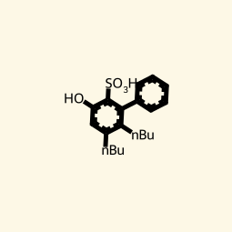 CCCCc1cc(O)c(S(=O)(=O)O)c(-c2ccccc2)c1CCCC